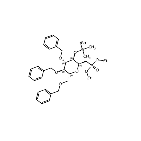 CCOP(=O)(C[C@H]1O[C@H](COCc2ccccc2)[C@@H](OCc2ccccc2)[C@H](OCc2ccccc2)[C@H]1O[Si](C)(C)C(C)(C)C)OCC